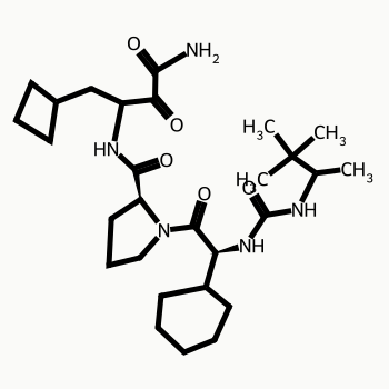 CC(NC(=O)N[C@H](C(=O)N1CCC[C@H]1C(=O)NC(CC1CCC1)C(=O)C(N)=O)C1CCCCC1)C(C)(C)C